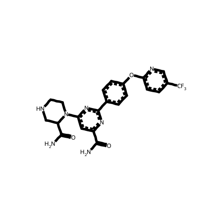 NC(=O)c1cc(N2CCNCC2C(N)=O)nc(-c2ccc(Oc3ccc(C(F)(F)F)cn3)cc2)n1